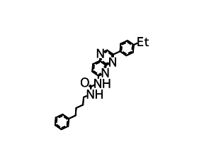 CCc1ccc(-c2cnc3ccc(NC(=O)NCCCCc4ccccc4)nc3n2)cc1